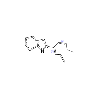 C=C/C=C(\C=C/CC)n1cc2ccccc2n1